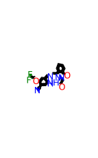 N#CC1=CC(=N)/C(=C\NCc2nn(CC=O)c(=O)c3ccccc23)C=C1OCC(F)F